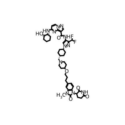 Cn1c(=O)n(C2CCC(=O)NC2=O)c2ccc(CCCOC3CCN(C[C@H]4CC[C@H](n5cc(NC(=O)c6cnn7ccc(N[C@@H]8CCCC[C@@H]8O)nc67)c(C(F)F)n5)CC4)CC3)cc21